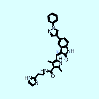 Cc1[nH]c(/C=C2\C(=O)Nc3ccc(-c4cnn(-c5ccccc5)c4)cc32)c(C)c1C(=O)NCCc1ncc[nH]1